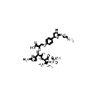 CC1(C)C(NC(=O)C(=NOC(COc2ccc(C3CNC(NCCN)=N3)cc2)C(=O)O)c2csc(N)n2)C(=O)N1OS(=O)(=O)O